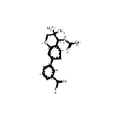 CC1(C)COc2cc(-c3cccc(C(F)F)c3)ccc2C1NC(=O)O